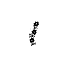 O=C(Nc1ccc([SH](=O)=O)cc1)Nc1cccc(NC(=O)Oc2ccccc2)c1